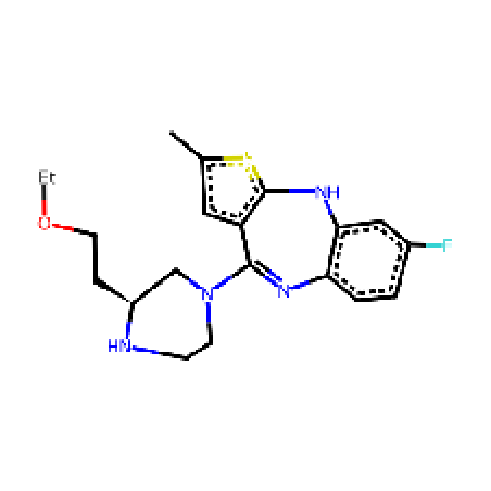 CCOCC[C@H]1CN(C2=Nc3ccc(F)cc3Nc3sc(C)cc32)CCN1